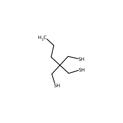 CCCC(CS)(CS)CS